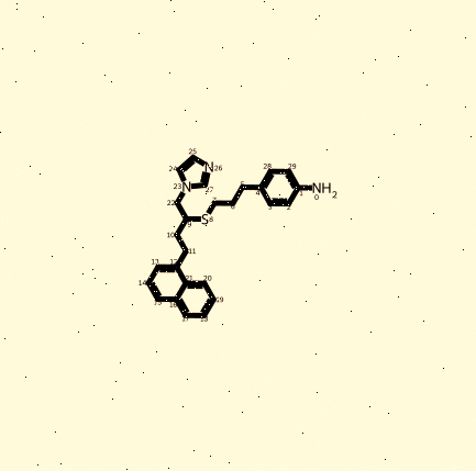 Nc1ccc(CCCSC(CCc2cccc3ccccc23)Cn2ccnc2)cc1